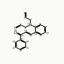 C=CCN(CC=C)c1ccccc1/C=C/C(=O)c1ccccc1